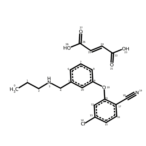 CCCNCc1cccc(Oc2cc(Cl)ccc2C#N)c1.O=C(O)C=CC(=O)O